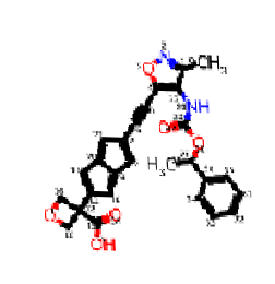 Cc1noc(C#CC2=CC3=CC(C4(C(=O)O)COC4)=CC3=C2)c1NC(=O)OC(C)c1ccccc1